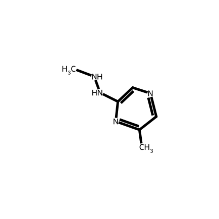 CNNc1cncc(C)n1